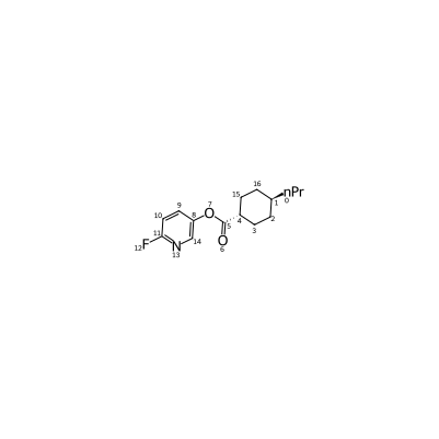 CCC[C@H]1CC[C@H](C(=O)Oc2ccc(F)nc2)CC1